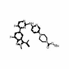 C=C(C)c1c2cc(-c3nc(Nc4ccc(N5CCN(C(=O)OC(C)(C)C)CC5)cn4)ncc3F)cc(F)c2nn1C